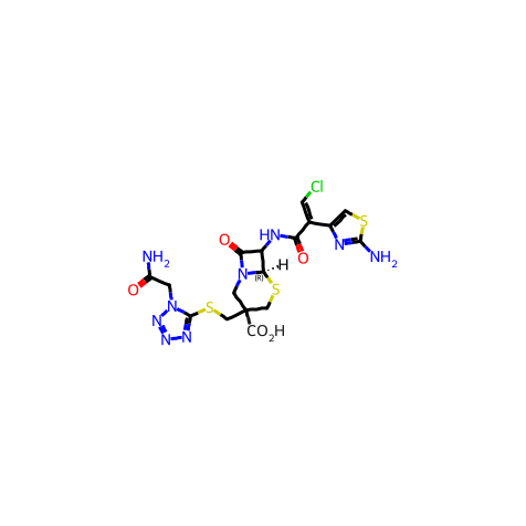 NC(=O)Cn1nnnc1SCC1(C(=O)O)CS[C@@H]2C(NC(=O)C(=CCl)c3csc(N)n3)C(=O)N2C1